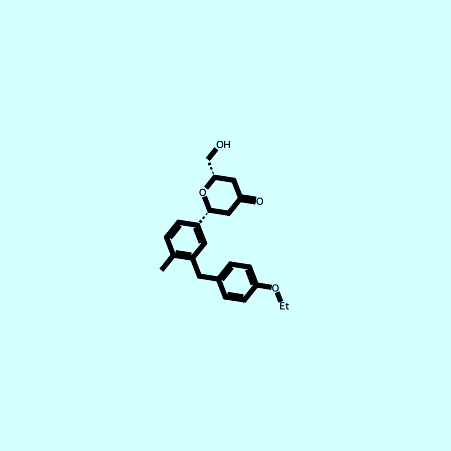 CCOc1ccc(Cc2cc([C@H]3CC(=O)C[C@@H](CO)O3)ccc2C)cc1